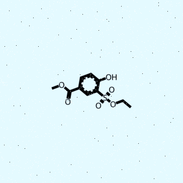 CCOS(=O)(=O)c1cc(C(=O)OC)ccc1O